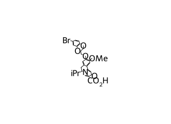 COc1cc2c(cc1OCC1COc3ccc(Br)cc3O1)CC(C(C)C)n1cc(C(=O)O)c(=O)cc1-2